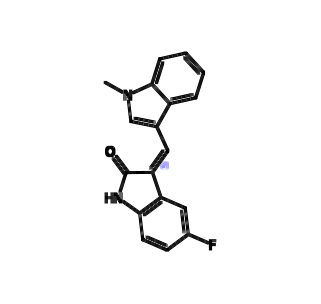 Cn1cc(/C=C2\C(=O)Nc3ccc(F)cc32)c2ccccc21